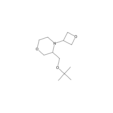 CC(C)(C)OCC1COCCN1C1COC1